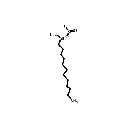 CCCCCCCCCCCC[SiH](C)OS(=O)F